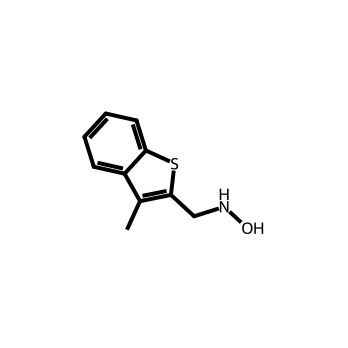 Cc1c(CNO)sc2ccccc12